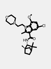 COc1cc(Cl)cc2c(C(=O)N[C@@H]3C(C)(C)C4CC[C@@]3(C)C4)c(C)n(CCN3CCOCC3)c12